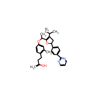 C=C(O)CCc1ccc(OC(C)C2=C(C(C)C)CC(c3ccc(-c4ncccn4)cc3)O2)cc1C